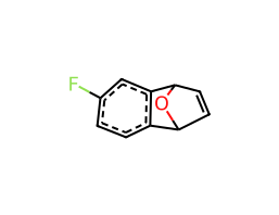 Fc1ccc2c(c1)C1C=CC2O1